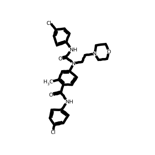 Cc1cc(N(CCN2CCOCC2)C(=O)Nc2ccc(Cl)cc2)ccc1C(=O)Nc1ccc(Cl)cc1